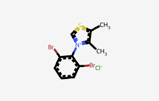 Cc1sc[n+](-c2c(Br)cccc2Br)c1C.[Cl-]